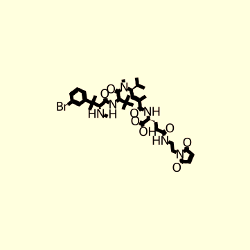 CN[C@H](C(=O)NC(C(=O)N(C)[C@H](/C=C(\C)C(=O)N[C@H](CCC(=O)NCCN1C(=O)C=CC1=O)C(=O)O)C(C)C)C(C)(C)C)C(C)(C)c1cccc(Br)c1